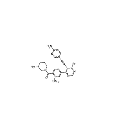 CCc1ncnc(-c2ccc(C(=O)N3CCCC(O)C3)c(OC)c2)c1C#Cc1ccc(N)nc1